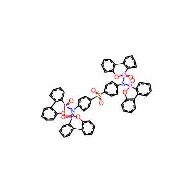 O=P1(N(c2ccc(S(=O)(=O)c3ccc(N(P4(=O)Oc5ccccc5-c5ccccc54)P4(=O)Oc5ccccc5-c5ccccc54)cc3)cc2)P2(=O)Oc3ccccc3-c3ccccc32)Oc2ccccc2-c2ccccc21